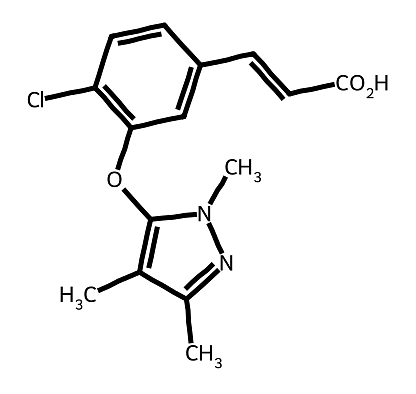 Cc1nn(C)c(Oc2cc(C=CC(=O)O)ccc2Cl)c1C